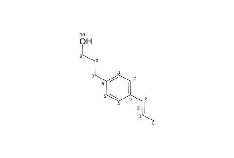 C/C=C/c1ccc(CCCO)cc1